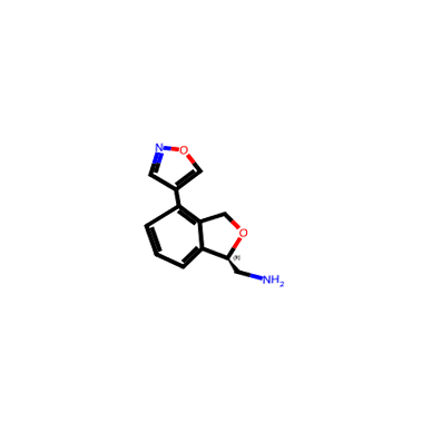 NC[C@@H]1OCc2c(-c3cnoc3)cccc21